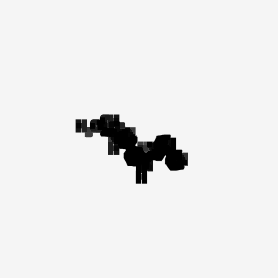 CN(C)CC(=O)Nc1cncc(-c2ccc3[nH]nc(-c4cc5c(-c6cccnc6)nccc5[nH]4)c3c2)c1